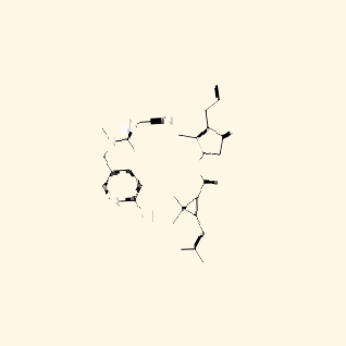 C/C(=N\C#N)N(C)Cc1ccc(Cl)nc1.C=CCC1=C(C)C(OC(=O)C2C(C=C(C)C)C2(C)C)CC1=O